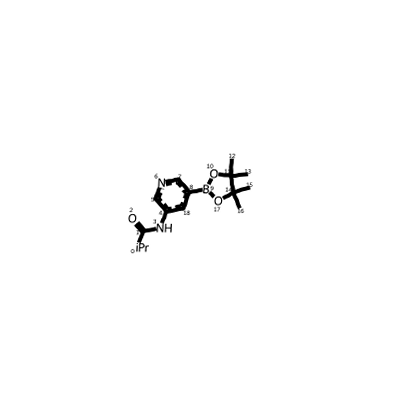 CC(C)C(=O)Nc1cncc(B2OC(C)(C)C(C)(C)O2)c1